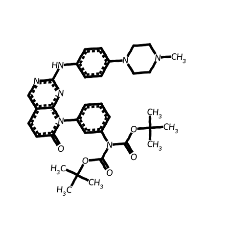 CN1CCN(c2ccc(Nc3ncc4ccc(=O)n(-c5cccc(N(C(=O)OC(C)(C)C)C(=O)OC(C)(C)C)c5)c4n3)cc2)CC1